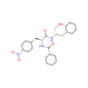 O=C(N[C@@H](Cc1ccc([N+](=O)[O-])cc1)C(=O)N[C@H](CO)Cc1ccccc1)c1ccccc1